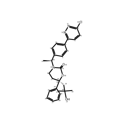 C[C@@H](c1ccc(-c2ccc(Cl)nn2)cc1)N1CC[C@](CC(C)(C)O)(c2ccccc2)OC1=O